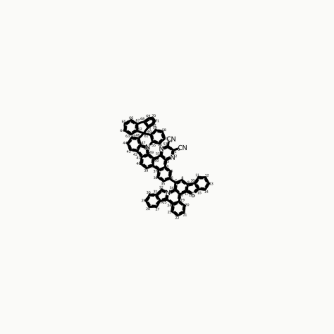 N#Cc1nc2c3cc(-c4cc5c6ccccc6sc5c5c6ccccc6c6c7ccccc7cn6c45)ccc3c3ccc4c5cccc6c5n(c4c3c2nc1C#N)-c1ccccc1C61c2ccccc2-c2ccccc21